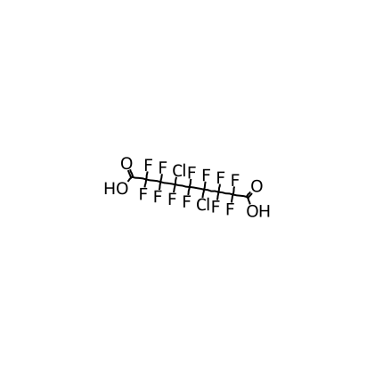 O=C(O)C(F)(F)C(F)(F)C(F)(Cl)C(F)(F)C(F)(Cl)C(F)(F)C(F)(F)C(=O)O